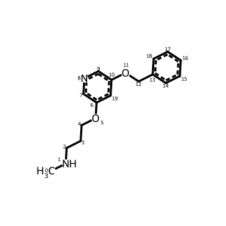 CNCCCOc1cncc(OCc2ccccc2)c1